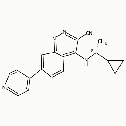 C[C@@H](Nc1c(C#N)nnc2cc(-c3ccncc3)ccc12)C1CC1